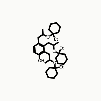 CCC1(OC(C)Cc2ccc(O)c(CC(C)OC3(CC)CCCCC3)c2CC(C)OC2(CC)CCCCC2)CCCCC1